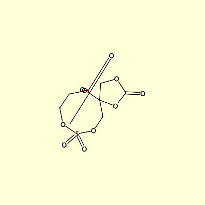 O=C1OCC2(CCOS(=O)(=O)OCC23COC(=O)O3)O1